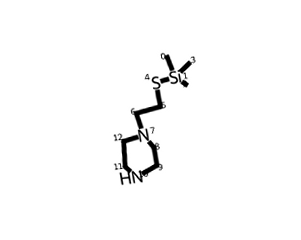 C[Si](C)(C)SCCN1CCNCC1